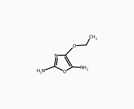 CCOc1nc(N)oc1N